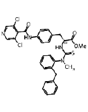 COC(=O)[C@H](Cc1ccc(NC(=O)c2c(Cl)cncc2Cl)cc1)NC(=S)N(C)c1ccccc1Cc1ccccc1